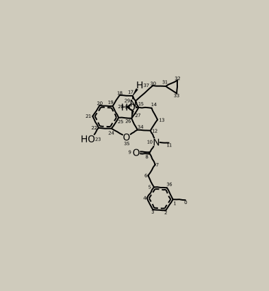 Cc1cccc(CCC(=O)N(C)C2CC[C@@]3(O)[C@H]4Cc5ccc(O)c6c5[C@@]3(CCN4CC3CC3)C2O6)c1